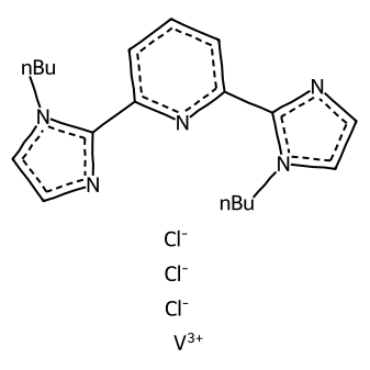 CCCCn1ccnc1-c1cccc(-c2nccn2CCCC)n1.[Cl-].[Cl-].[Cl-].[V+3]